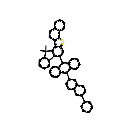 CC1(C)c2ccccc2-c2c(-c3c4ccccc4c(-c4ccc5cc(-c6ccccc6)ccc5c4)c4ccccc34)cc3sc4c5ccccc5ccc4c3c21